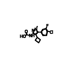 Cn1nc(NC(=O)O)c(C2CCC2)c1-c1ccc(Cl)c(F)c1